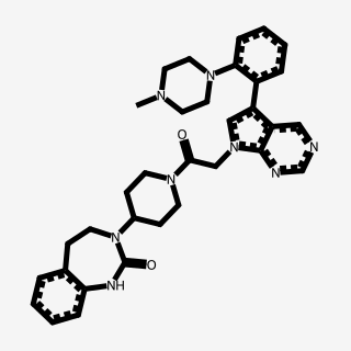 CN1CCN(c2ccccc2-c2cn(CC(=O)N3CCC(N4CCc5ccccc5NC4=O)CC3)c3ncncc23)CC1